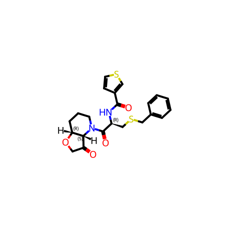 O=C(N[C@@H](CSCc1ccccc1)C(=O)N1CCC[C@H]2OCC(=O)[C@H]21)c1ccsc1